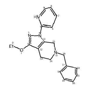 CCOc1nn(-c2ccccn2)c2c1CCN(Cc1ccccc1)C2